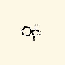 CC(C)C1(N(O)O)CCCCC1